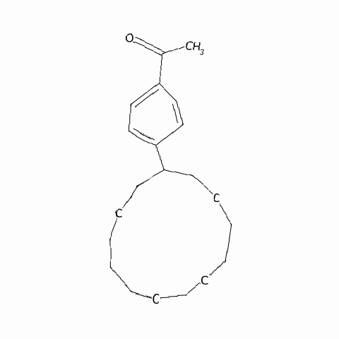 CC(=O)c1ccc(C2CCCCCCCCCCCC2)cc1